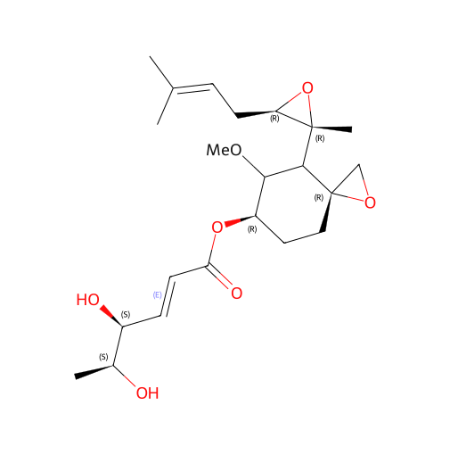 COC1C([C@@]2(C)O[C@@H]2CC=C(C)C)[C@]2(CC[C@H]1OC(=O)/C=C/[C@H](O)[C@H](C)O)CO2